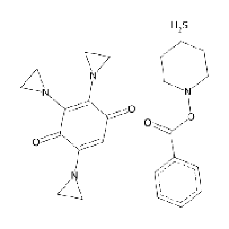 O=C(ON1CCCCC1)c1ccccc1.O=C1C=C(N2CC2)C(=O)C(N2CC2)=C1N1CC1.S